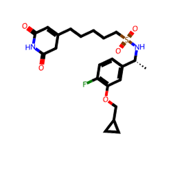 C[C@@H](NS(=O)(=O)CCCCCC1=CC(=O)NC(=O)C1)c1ccc(F)c(OCC2CC2)c1